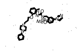 CCCCCN(Cc1cc(-n2ccnc2)ccc1OC)C(=O)Nc1c(C)cccc1OCCCN1CCN(c2ccccc2)CC1